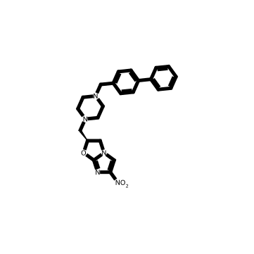 O=[N+]([O-])c1cn2c(n1)O[C@@H](CN1CCN(Cc3ccc(-c4ccccc4)cc3)CC1)C2